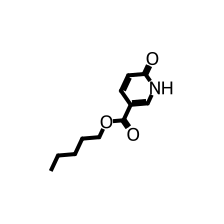 CCCCCOC(=O)c1ccc(=O)[nH]c1